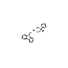 O=C(OCC1c2ccccc2-c2ccccc21)N1CCC(C(=O)Cl)(c2ccccc2)CC1